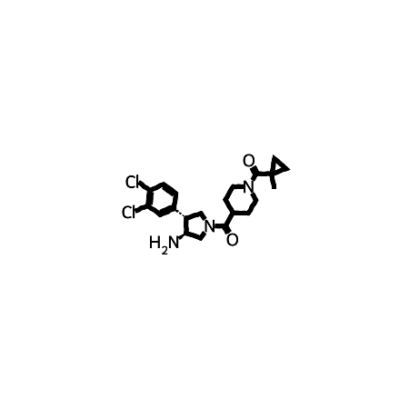 CC1(C(=O)N2CCC(C(=O)N3C[C@@H](N)[C@H](c4ccc(Cl)c(Cl)c4)C3)CC2)CC1